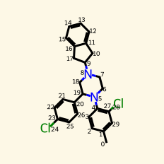 Cc1ccc(N2CCN(C3Cc4ccccc4C3)CC2c2ccc(Cl)cc2)c(Cl)c1